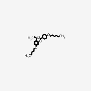 CCCCCCOC1CCC(C(=O)OC(CC)c2ccc(OCCCCC)cc2)CC1